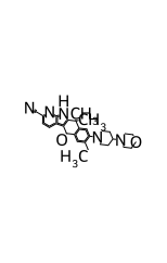 CCc1cc2c(cc1N1CCC(N3CCOCC3)CC1)C(C)(C)c1[nH]c3nc(C#N)ccc3c1C2=O